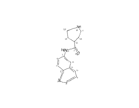 O=C(Nc1ccc2ncccc2c1)C1CCNCC1